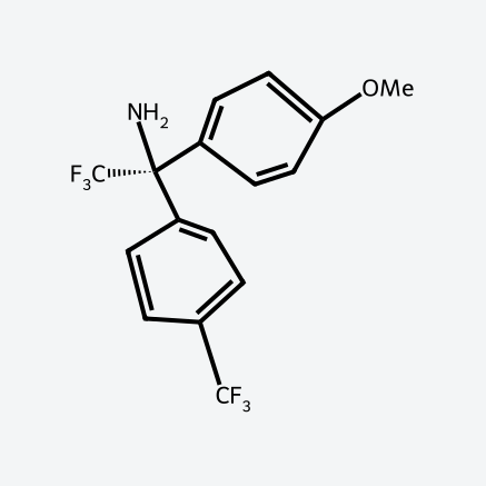 COc1ccc([C@](N)(c2ccc(C(F)(F)F)cc2)C(F)(F)F)cc1